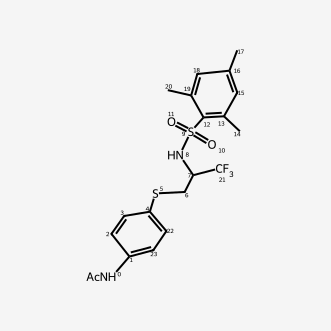 CC(=O)Nc1ccc(SCC(NS(=O)(=O)c2c(C)cc(C)cc2C)C(F)(F)F)cc1